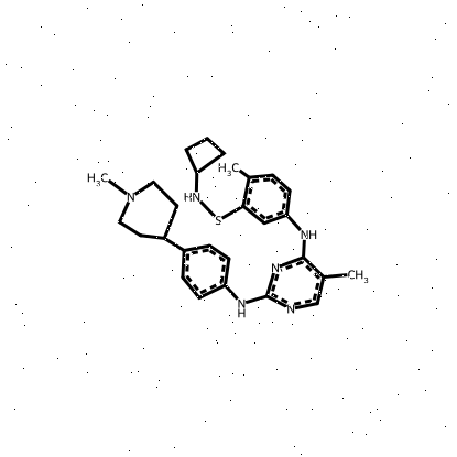 Cc1ccc(Nc2nc(Nc3ccc(C4CCN(C)CC4)cc3)ncc2C)cc1SNC1CCC1